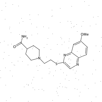 COc1ccc2ncc(SCCN3CCC(C(N)=O)CC3)nc2c1